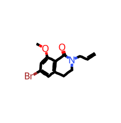 C=CCN1CCc2cc(Br)cc(OC)c2C1=O